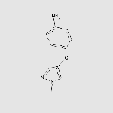 Cn1cc(Oc2ccc(N)cc2)cn1